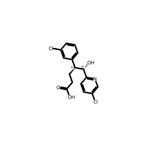 O=C(O)CC[C@@H](c1cccc(Cl)c1)[C@H](O)c1ccc(Cl)cn1